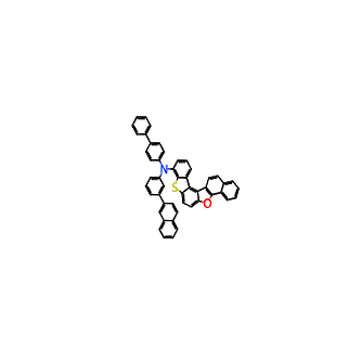 c1ccc(-c2ccc(N(c3cccc(-c4ccc5ccccc5c4)c3)c3cccc4c3sc3ccc5oc6c7ccccc7ccc6c5c34)cc2)cc1